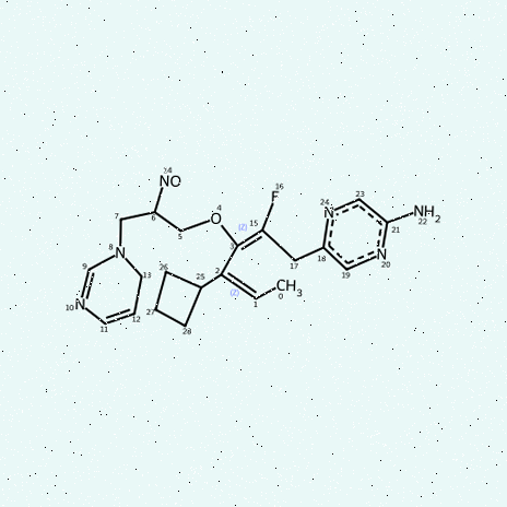 C/C=C(\C(OCC(CN1C=NC=CC1)N=O)=C(\F)Cc1cnc(N)cn1)C1CCC1